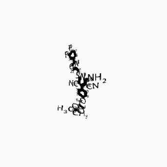 CC1(C)OC[C@@H](COc2ccc(-c3c(C#N)c(N)nc(SCc4coc(-c5ccc(F)c(F)c5)n4)c3C#N)cc2)O1